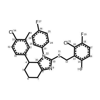 Cc1cc(C2CCCc3nc(SCc4c(F)ccc(F)c4Cl)n(-c4ccc(F)cc4)c32)ccc1Cl